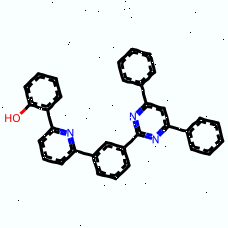 Oc1ccccc1-c1cccc(-c2cccc(-c3nc(-c4ccccc4)cc(-c4ccccc4)n3)c2)n1